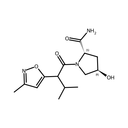 Cc1cc(C(C(=O)N2C[C@H](O)C[C@H]2C(N)=O)C(C)C)on1